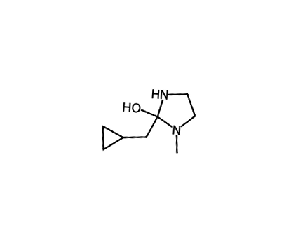 CN1CCNC1(O)CC1CC1